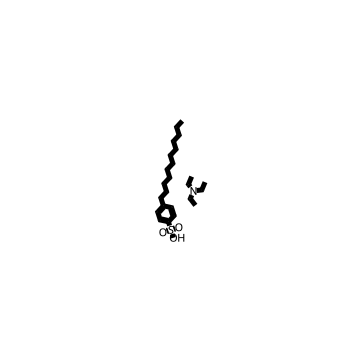 CCCCCCCCCCCCc1ccc(S(=O)(=O)O)cc1.CCN(CC)CC